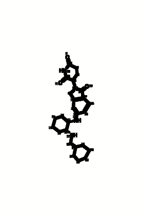 O=C1CCC(N2Cc3cc(N[C@@H]4CCCC[C@H]4NCC4CCCCC4)ccc3C2=O)C(=O)N1